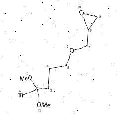 CO[C]([Ti])(CCCOCC1CO1)OC